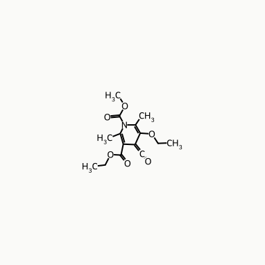 CCOC(=O)C1=C(C)N(C(=O)OC)C(C)=C(OCC)C1=C=O